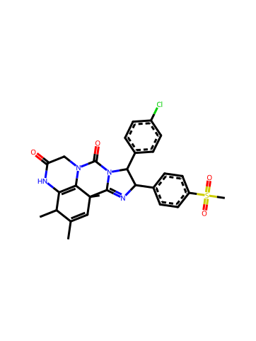 CC1=CC2(C)C3=NC(c4ccc(S(C)(=O)=O)cc4)C(c4ccc(Cl)cc4)N3C(=O)N3CC(=O)NC(=C32)C1C